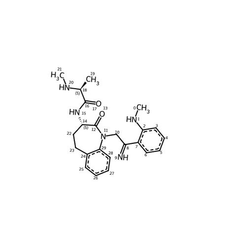 CNc1ccccc1C(=N)CN1C(=O)[C@@H](NC(=O)[C@H](C)NC)CCc2ccccc21